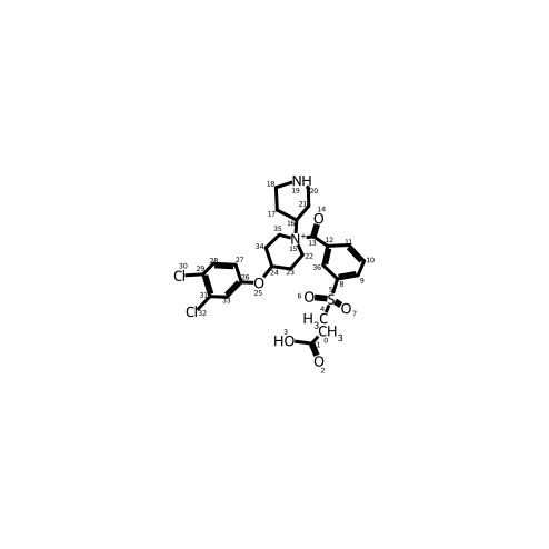 CC(=O)O.CS(=O)(=O)c1cccc(C(=O)[N+]2(C3CCNCC3)CCC(Oc3ccc(Cl)c(Cl)c3)CC2)c1